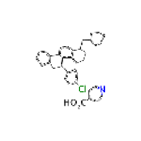 Clc1ccc(C2=c3c(ccc4c3=CCCC4Cc3ccccc3)-c3ccccc3C2)cc1.O=C(O)c1ccncc1